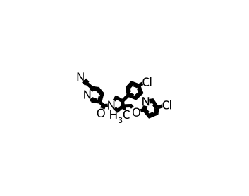 CC1(COc2ccc(Cl)cn2)CN(C(=O)c2ccc(C#N)nc2)CC1c1ccc(Cl)cc1